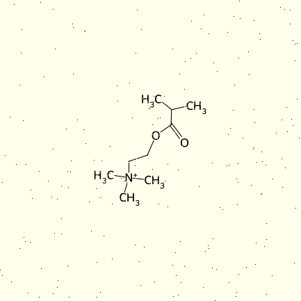 CC(C)C(=O)OCC[N+](C)(C)C